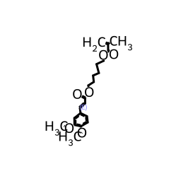 C=C(C)C(=O)OCCCCCCOC(=O)/C=C/c1ccc(OC)c(OC)c1